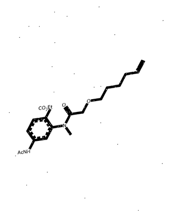 C=CCCCCOCC(=O)N(C)c1cc(NC(C)=O)ccc1C(=O)OCC